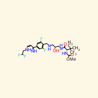 COC(=O)N[C@H](C(=O)NC[C@@H](O)CNCc1c(F)cc(C(=N)/C=C\NCC(F)F)cc1F)C(C)(C)C(F)(F)F